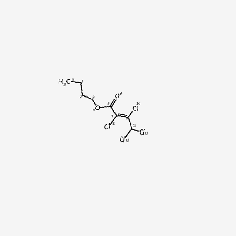 CCCCOC(=O)C(Cl)=C(Cl)C(Cl)Cl